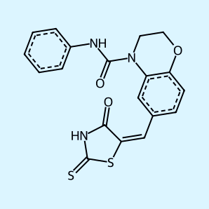 O=C1NC(=S)SC1=Cc1ccc2c(c1)N(C(=O)Nc1ccccc1)CCO2